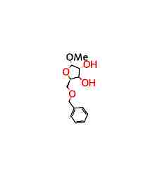 CO[C@H]1O[C@H](COCc2ccccc2)[C@H](O)[C@H]1O